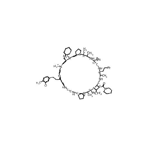 CC[C@H](C)[C@H]1CN[C@@H](CCC(C)C)C(C)NCC2[C@@H](C(=O)N3CCCCC3)C(C)N2[C@@H](C(C)C)C(C)NC2(CCCC2)CNCCNC=CC(CCc2ccc(C(F)(F)F)c(Cl)c2)=NC=CN(C)C=C(CC2CCCCC2)N(C)C=C2CCCN2[C@@H](C)C(C)N1